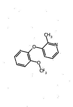 Cc1ncccc1Oc1[c]cccc1OC(F)(F)F